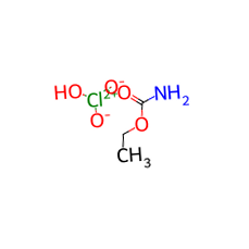 CCOC(N)=O.[O-][Cl+2]([O-])O